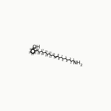 NCCCCCCCCC=CCCCCCCCCCc1ccccc1O